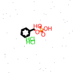 Cl.Cl.O=P(O)(O)OCc1ccccc1